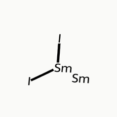 [I][Sm][I].[Sm]